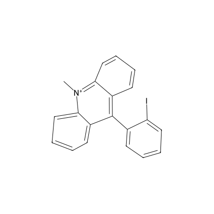 C[n+]1c2ccccc2c(-c2ccccc2I)c2ccccc21